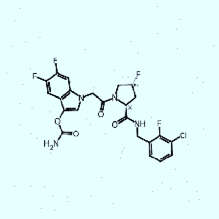 NC(=O)Oc1cn(CC(=O)N2C[C@H](F)C[C@H]2C(=O)NCc2cccc(Cl)c2F)c2cc(F)c(F)cc12